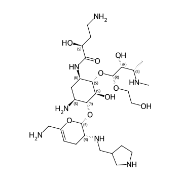 CN[C@@H](C)[C@@H](O)[C@H](OCCO)O[C@@H]1[C@@H](O)[C@H](O[C@H]2OC(CN)=CC[C@H]2NCC2CCNC2)[C@@H](N)C[C@H]1NC(=O)[C@@H](O)CCN